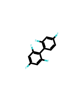 Fc1c[c]c(-c2c(F)cc(F)cc2F)c(F)c1